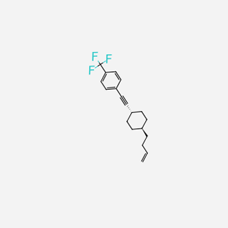 C=CCC[C@H]1CC[C@H](C#Cc2ccc(C(F)(F)F)cc2)CC1